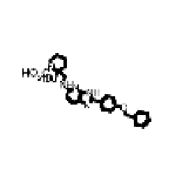 CC(C)(C)C1(CNc2ccc3nc(-c4ccc(OCc5ccccc5)cc4)[nH]c3n2)CCCCN1C(=O)O